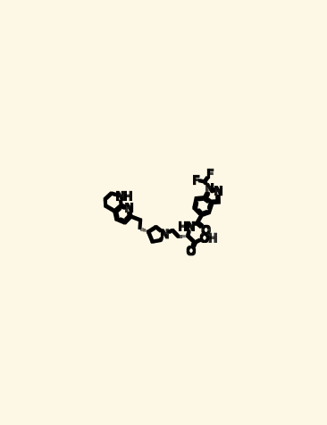 O=C(N[C@@H](CCN1CC[C@H](CCc2ccc3c(n2)NCCC3)C1)C(=O)O)c1ccc2c(cnn2C(F)F)c1